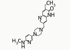 CCc1cc2ncc(CN3CCN(c4ccc(NC)nc4)CC3)cc2[nH]c1=O